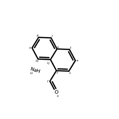 O=Cc1cccc2ccccc12.[NaH]